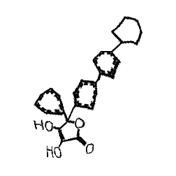 O=C1OC(c2ccccc2)(c2ccc(-c3ccc(C4CCCCC4)cc3)cc2)C(O)=C1O